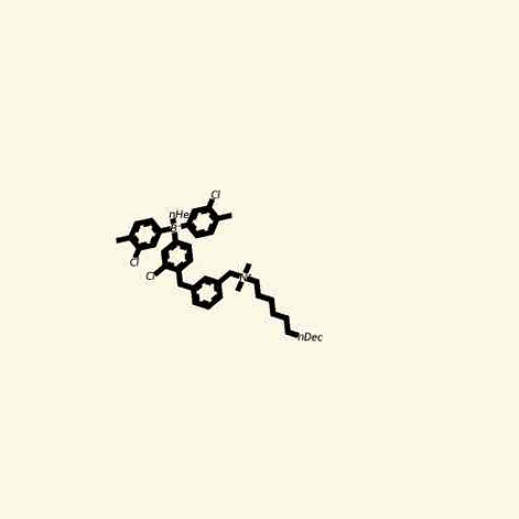 CCCCCCCCCCCCCCCC[N+](C)(C)Cc1cccc(Cc2ccc([B-](CCCCCC)(c3ccc(C)c(Cl)c3)c3ccc(C)c(Cl)c3)cc2Cl)c1